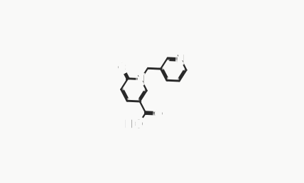 O=C(O)c1ccc(=O)n(Cc2cccnc2)c1